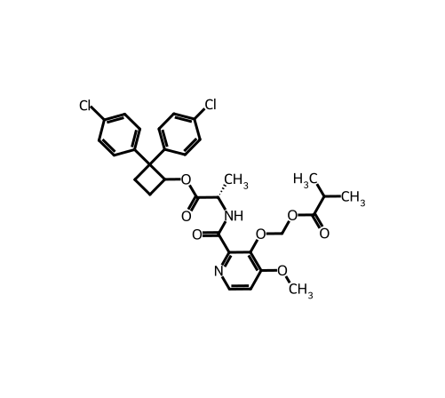 COc1ccnc(C(=O)N[C@@H](C)C(=O)OC2CCC2(c2ccc(Cl)cc2)c2ccc(Cl)cc2)c1OCOC(=O)C(C)C